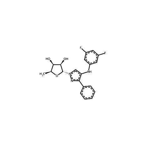 C[C@@H]1O[C@@H](n2cc(Nc3cc(F)cc(F)c3)c(-c3ccccc3)n2)[C@H](O)[C@@H]1O